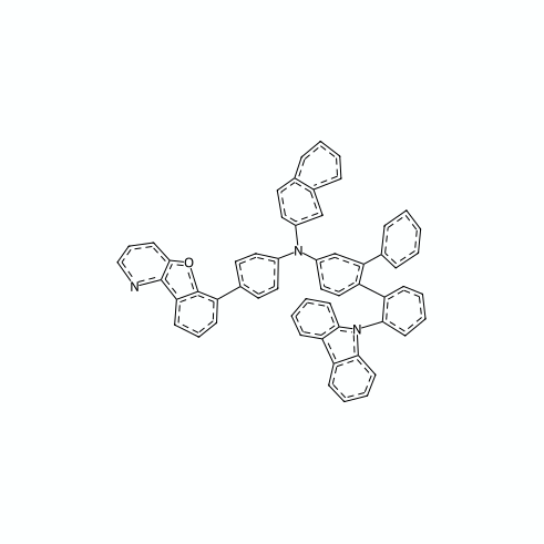 c1ccc(-c2cc(N(c3ccc(-c4cccc5c4oc4cccnc45)cc3)c3ccc4ccccc4c3)ccc2-c2ccccc2-n2c3ccccc3c3ccccc32)cc1